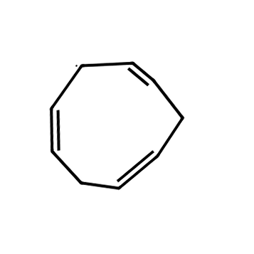 [CH]1/C=C\C/C=C\C/C=C\1